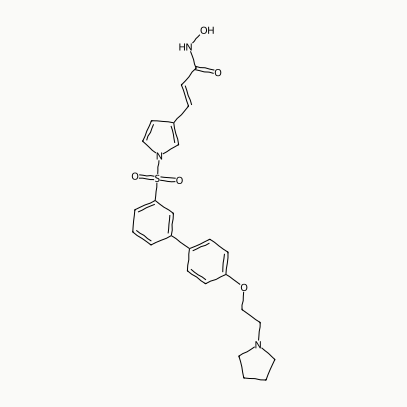 O=C(/C=C/c1ccn(S(=O)(=O)c2cccc(-c3ccc(OCCN4CCCC4)cc3)c2)c1)NO